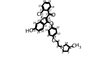 C[C@H]1CCN(CCOc2ccc(Oc3c(C(=O)c4ccccc4Cl)sc4cc(O)ccc34)cc2)C1